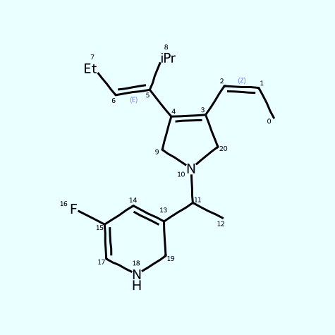 C/C=C\C1=C(C(=C/CC)/C(C)C)CN(C(C)C2=CC(F)=CNC2)C1